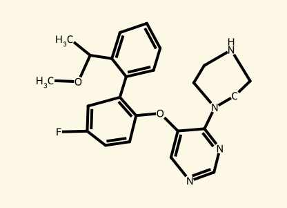 COC(C)c1ccccc1-c1cc(F)ccc1Oc1cncnc1N1CCNCC1